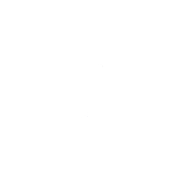 CC1(C)OB(c2cc(F)c(N3CCCC3=O)c(F)c2)OC1(C)C